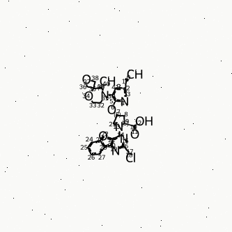 C#Cc1cnc(O[C@H]2C[C@@H](C(=O)O)N(c3nc(CCl)nc4c3oc3ccccc34)C2)c(N2CCOC3(COC3)[C@@H]2C)c1